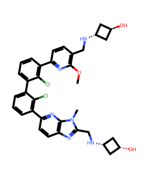 COc1nc(-c2cccc(-c3cccc(-c4ccc5nc(CN[C@H]6C[C@@H](O)C6)n(C)c5n4)c3Cl)c2Cl)ccc1CN[C@H]1C[C@H](O)C1